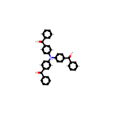 O=C(c1ccccc1)c1ccc(N(c2ccc(C(=O)c3ccccc3)cc2)c2ccc(C(=O)c3ccccc3)cc2)cc1